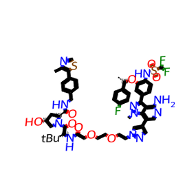 Cc1ncsc1-c1ccc(CNC(=O)[C@@H]2C[C@@H](O)CN2C(=O)[C@@H](NC(=O)COCCOCCn2cc(-c3cnc(N)c4c(-c5ccc(NS(=O)(=O)C(F)F)c(O[C@@H](C)c6ccc(F)cc6)c5)nn(C)c34)cn2)C(C)(C)C)cc1